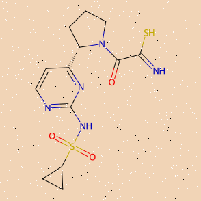 N=C(S)C(=O)N1CCC[C@H]1c1ccnc(NS(=O)(=O)C2CC2)n1